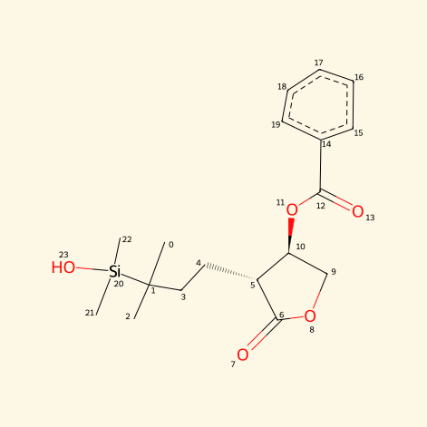 CC(C)(CC[C@H]1C(=O)OC[C@@H]1OC(=O)c1ccccc1)[Si](C)(C)O